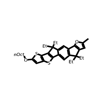 CCCCCCCCOc1cc2sc3c(c2s1)C(CC)(CC)c1cc2c(cc1-3)C(CC)(CC)c1cc(C)oc1-2